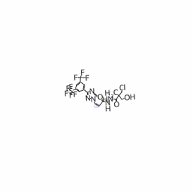 CC(CO)(CCl)C(=O)NNC(=O)/C=C\n1cnc(-c2cc(C(F)(F)F)cc(S(F)(F)(F)(F)F)c2)n1